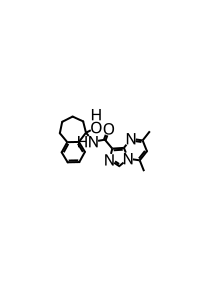 Cc1cc(C)n2cnc(C(=O)NC3(O)CCCCc4ccccc43)c2n1